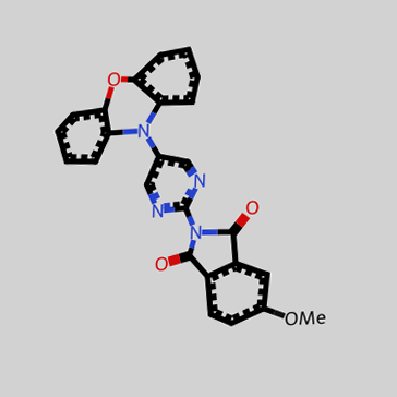 COc1ccc2c(c1)C(=O)N(c1ncc(N3c4ccccc4Oc4ccccc43)cn1)C2=O